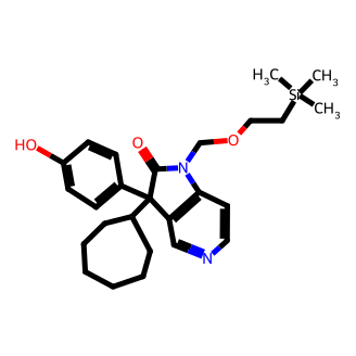 C[Si](C)(C)CCOCN1C(=O)C(c2ccc(O)cc2)(C2CCCCCC2)c2cnccc21